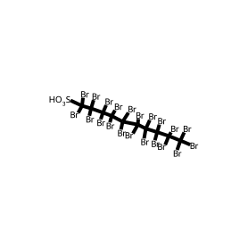 O=S(=O)(O)C(Br)(Br)C(Br)(Br)C(Br)(Br)C(Br)(Br)C(Br)(Br)C(Br)(Br)C(Br)(Br)C(Br)(Br)C(Br)(Br)C(Br)(Br)Br